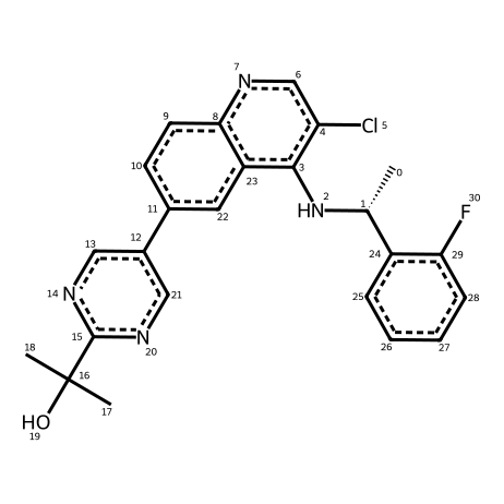 C[C@@H](Nc1c(Cl)cnc2ccc(-c3cnc(C(C)(C)O)nc3)cc12)c1ccccc1F